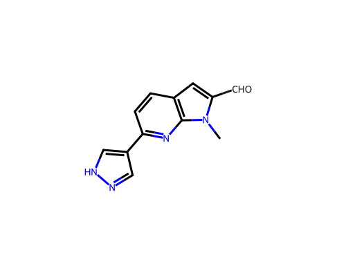 Cn1c(C=O)cc2ccc(-c3cn[nH]c3)nc21